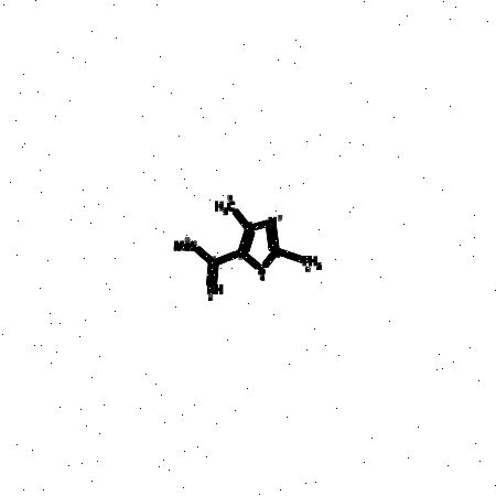 CSC(=N)c1sc(P)nc1C